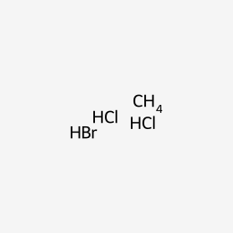 Br.C.Cl.Cl